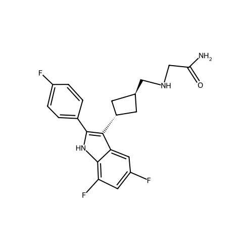 NC(=O)CNC[C@H]1C[C@H](c2c(-c3ccc(F)cc3)[nH]c3c(F)cc(F)cc32)C1